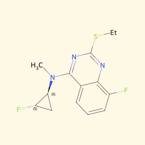 CCSc1nc(N(C)[C@H]2C[C@@H]2F)c2cccc(F)c2n1